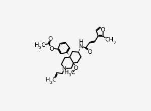 C=CCN1CC[C@@]2(c3cccc(OC(C)=O)c3)C[C@H](NC(=O)C=Cc3ccoc3C)CC[C@]2(OC)C1